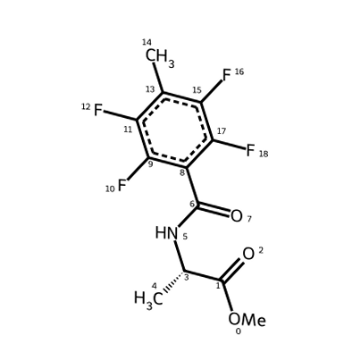 COC(=O)[C@H](C)NC(=O)c1c(F)c(F)c(C)c(F)c1F